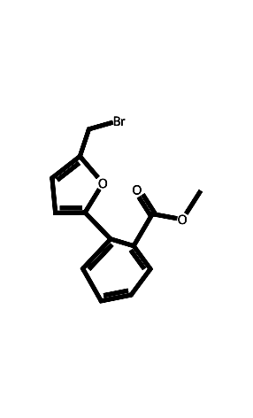 COC(=O)c1ccccc1-c1ccc(CBr)o1